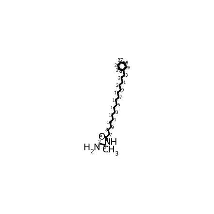 CC(CN)NC(=O)CCCCCCCCCCCCCCCCCc1ccccc1